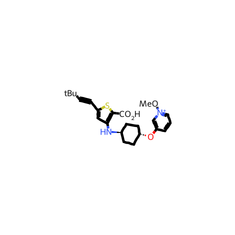 CO[n+]1cccc(O[C@H]2CC[C@H](Nc3cc(C#CC(C)(C)C)sc3C(=O)O)CC2)c1